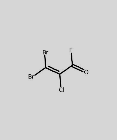 O=C(F)C(Cl)=C(Br)Br